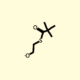 CC(C)(C)C(=O)SCC[O]